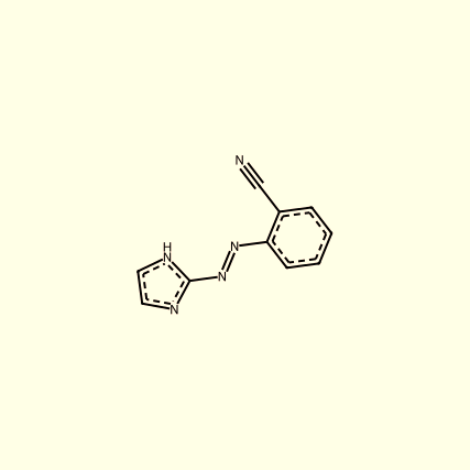 N#Cc1ccccc1/N=N/c1ncc[nH]1